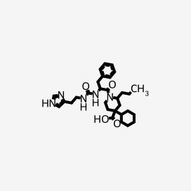 CCCC1CC(C(=O)O)(C2CCCCC2)CCN1C(=O)C(Cc1ccccc1)NC(=O)NCCc1c[nH]cn1